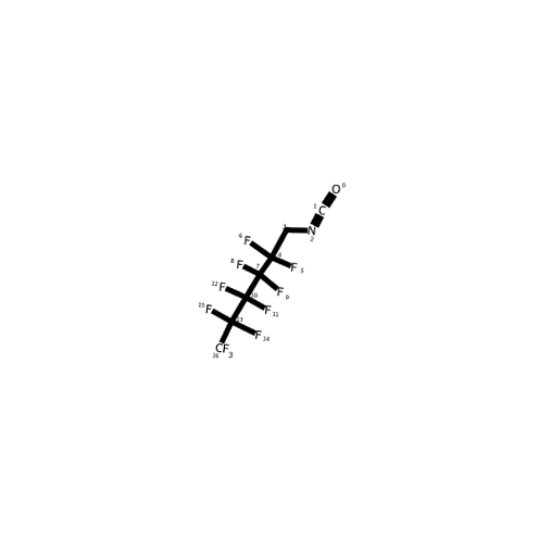 O=C=NCC(F)(F)C(F)(F)C(F)(F)C(F)(F)C(F)(F)F